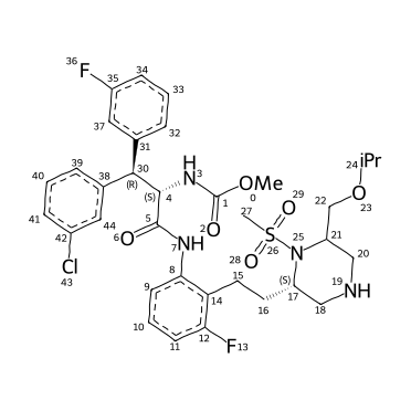 COC(=O)N[C@H](C(=O)Nc1cccc(F)c1CC[C@H]1CNCC(COC(C)C)N1S(C)(=O)=O)[C@H](c1cccc(F)c1)c1cccc(Cl)c1